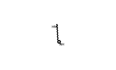 C=CC(=N)CCCCCCCCCCc1ccc(NC)cc1